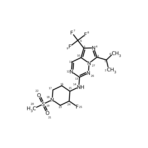 CC(C)c1nc(C(F)(F)F)c2cnc(NC3CCN(S(C)(=O)=O)CC3F)nn12